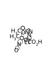 CCO[C@@H]1CN(c2nccc(-c3cccc(C)c3OCc3ccc4c(c3C)CCN(C3CCOCC3)CC4)n2)CC[C@@H]1C(=O)O